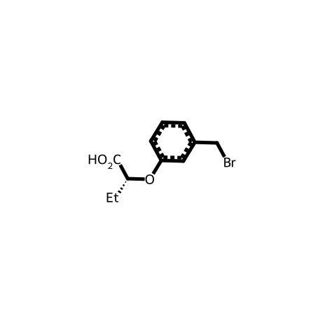 CC[C@@H](Oc1cccc(CBr)c1)C(=O)O